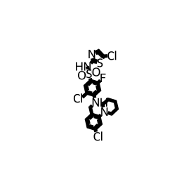 O=S(=O)(Nc1ncc(Cl)s1)c1cc(Cl)c(NCc2ccc(Cl)cc2N2CCCCC2)cc1F